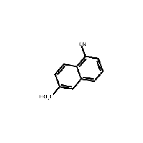 N#Cc1cccc2cc(C(=O)O)ccc12